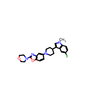 Cn1cc(C2CCN(c3ccc4oc(N5CCOCC5)nc4c3)CC2)c2cc(F)ccc21